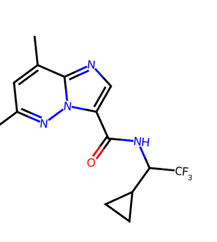 Cc1cc(C)c2ncc(C(=O)NC(C3CC3)C(F)(F)F)n2n1